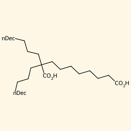 CCCCCCCCCCCCCC(CCCCCCCCCCCCC)(CCCCCCCC(=O)O)C(=O)O